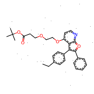 CCc1ccc(-c2c(-c3ccccc3)oc3nccc(OCCOCCC(=O)OC(C)(C)C)c23)cc1